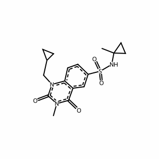 Cn1c(=O)c2cc(S(=O)(=O)NC3(C)CC3)ccc2n(CC2CC2)c1=O